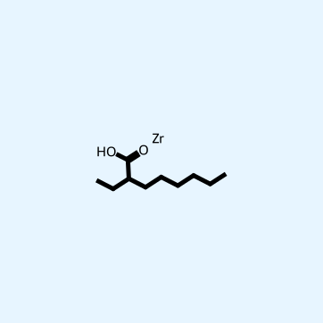 CCCCCCC(CC)C(=O)O.[Zr]